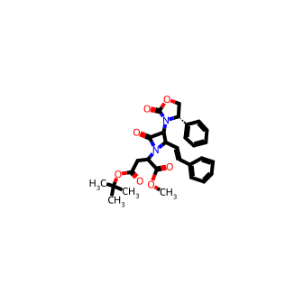 COC(=O)C(CC(=O)OC(C)(C)C)N1C(=O)C(N2C(=O)OC[C@@H]2c2ccccc2)C1C=Cc1ccccc1